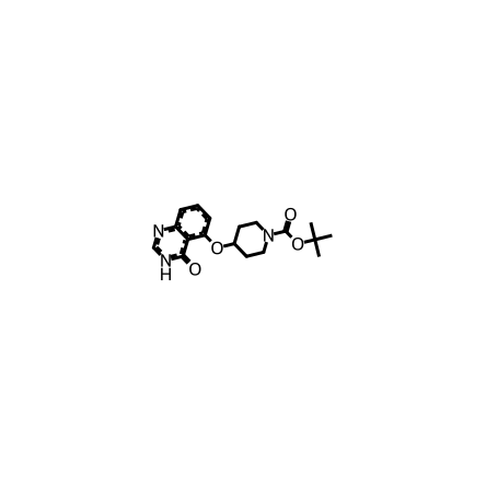 CC(C)(C)OC(=O)N1CCC(Oc2cccc3nc[nH]c(=O)c23)CC1